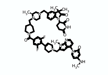 CNc1ccn(-c2ccnc3c2cc(CN2CC=C(c4c(F)cc(C(=O)N5CCC(CN6CCN(Cc7ccc8c(c7)C(C)(C)C(=O)N8C7CCC(=O)NC7=O)C[C@@H]6C)CC5)cc4F)CC2)n3C)c(=O)c1